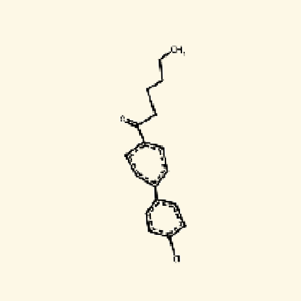 CCCCCC(=O)c1ccc(-c2ccc(Cl)cc2)cc1